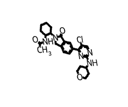 CC(=O)NC1CCCCC1N1Cc2ccc(-c3nc(NC4CCOCC4)ncc3Cl)cc2C1=O